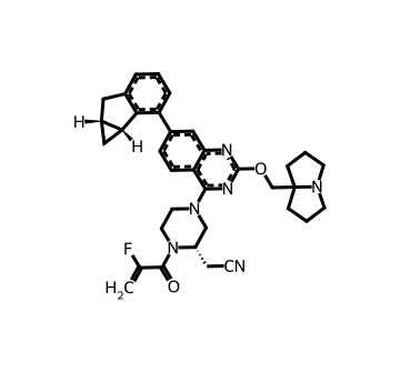 C=C(F)C(=O)N1CCN(c2nc(OCC34CCCN3CCC4)nc3cc(-c4cccc5c4[C@@H]4C[C@@H]4C5)ccc23)C[C@@H]1CC#N